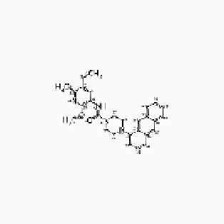 CCc1cc(NC(=O)N2CCN(c3cccc4cc5ccccc5cc34)CC2)c(OC)nc1C